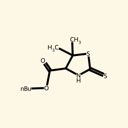 CCCCOC(=O)C1NC(=S)SC1(C)C